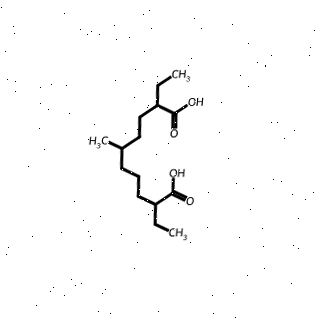 CCC(CCCC(C)CCC(CC)C(=O)O)C(=O)O